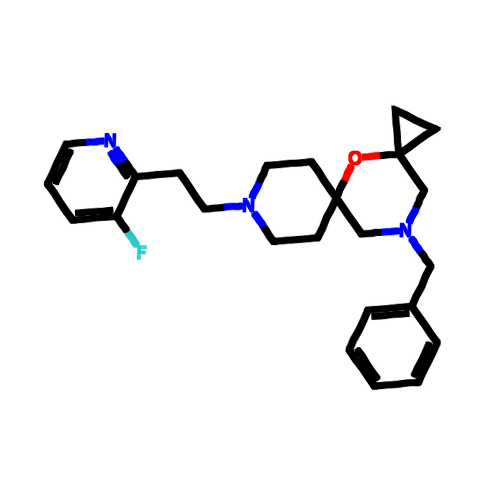 Fc1cccnc1CCN1CCC2(CC1)CN(Cc1ccccc1)CC1(CC1)O2